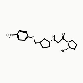 N#C[C@@H]1CCCN1C(=O)CN[C@@H]1CC[C@@H](COc2ccc([N+](=O)[O-])cc2)C1